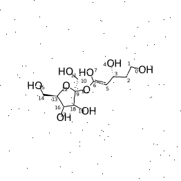 OCC[C@@H](O)/C=C(\O)O[C@]1(CO)O[C@H](CO)C(O)C1O